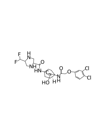 O=C(COc1ccc(Cl)c(Cl)c1)NC12CCC(NC(=O)C3CNC(C(F)F)CN3)(CC1)C[C@@H]2O